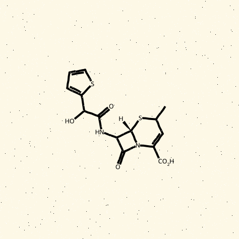 CC1C=C(C(=O)O)N2C(=O)C(NC(=O)C(O)c3cccs3)[C@@H]2S1